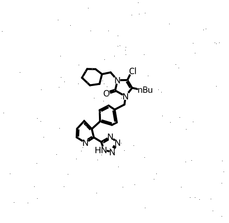 CCCCc1c(Cl)n(CC2CCCCC2)c(=O)n1Cc1ccc(-c2cccnc2-c2nnn[nH]2)cc1